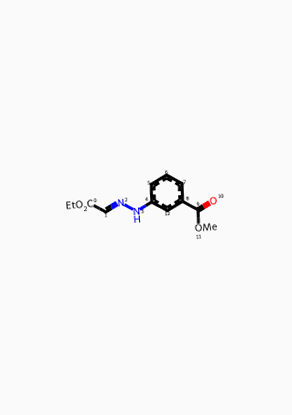 CCOC(=O)/C=N/Nc1cccc(C(=O)OC)c1